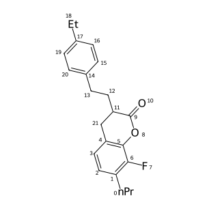 CCCc1ccc2c(c1F)OC(=O)C(CCc1ccc(CC)cc1)C2